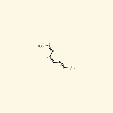 C/C=N/C=N\C=N/C